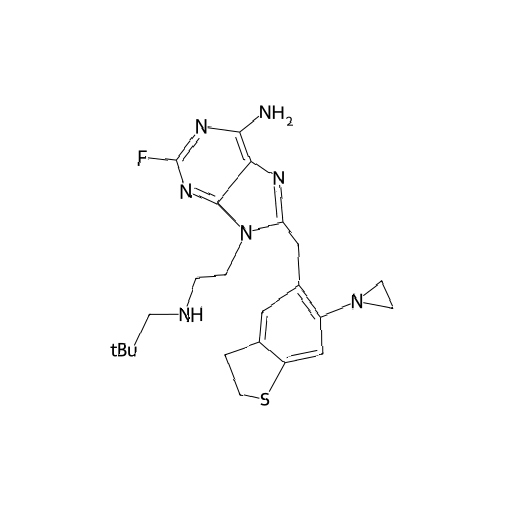 CC(C)(C)CNCCn1c(Cc2cc3c(cc2N2CC2)SCC3)nc2c(N)nc(F)nc21